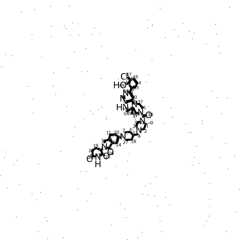 C[C@@H]1CN(CC2CCN(c3ccc4c(c3)C(=O)N(C3CCC(=O)NC3=O)C4)CC2)C[C@H](C)N1C(=O)N1CCN2c3cc(-c4cccc(Cl)c4O)nnc3NCC2(C)C1